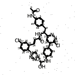 CC(=O)Nc1ccc(CC(NC(=O)C=Cc2cc(Cl)ccc2-n2cnnn2)c2cc(-c3ccc(NC(=O)O)cc3)c(Cl)nn2)cc1